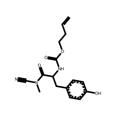 C=CCCOC(=O)NC(Cc1ccc(O)cc1)C(=O)N(C)C#N